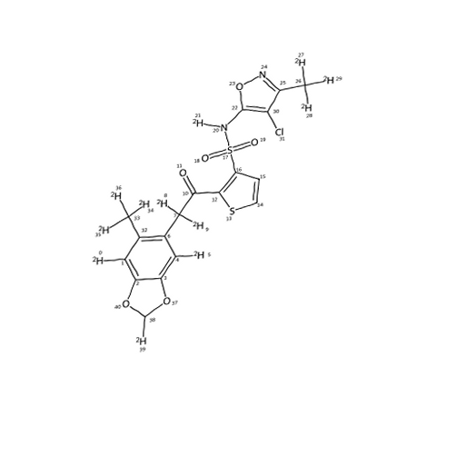 [2H]c1c2c(c([2H])c(C([2H])([2H])C(=O)c3sccc3S(=O)(=O)N([2H])c3onc(C([2H])([2H])[2H])c3Cl)c1C([2H])([2H])[2H])OC([2H])O2